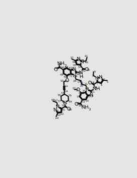 CCn1nc(C)cc1C(=O)Nc1nc2cc(C(N)=O)cc(OC)c2n1C/C=C/Cn1c(NC(=O)c2cc(C)nn2CC)nc2cc(C(N)=O)cc(OCC#CC3CCN(C(=O)c4cc(C)nn4CC)CC3)c21